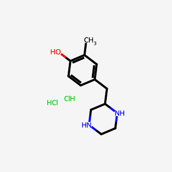 Cc1cc(CC2CNCCN2)ccc1O.Cl.Cl